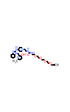 C#CCOCCOCCOCCOCCNC(=O)NCCN1CCC(Nc2nc3ccccc3n2Cc2nc(C)ccc2O)CC1